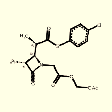 CC(=O)OCOC(=O)CN1C(=O)[C@H](C(C)C)[C@H]1[C@@H](C)C(=O)Sc1ccc(Cl)cc1